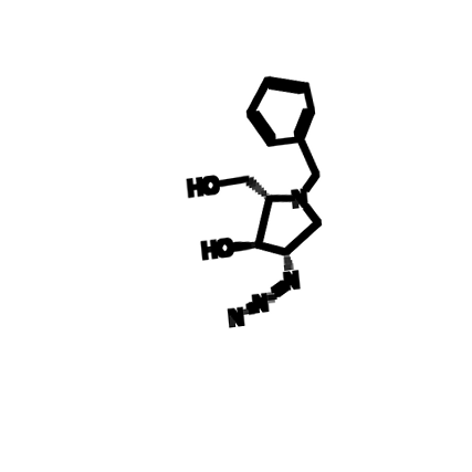 [N-]=[N+]=N[C@H]1CN(Cc2ccccc2)[C@@H](CO)[C@@H]1O